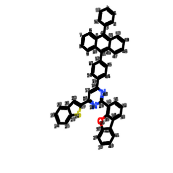 c1ccc(-c2c3ccccc3c(-c3ccc(-c4cc(-c5cc6ccccc6s5)nc(-c5cccc6c5oc5ccccc56)n4)cc3)c3ccccc23)cc1